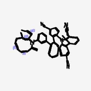 C=C1/C=C\C=C/C/C(C)=C(/C=C\C)N1c1cccc(-c2ccccc2-c2cc(C#N)ccc2N2c3ccc(C#N)cc3C3C=CC=C(C#N)C32C)c1